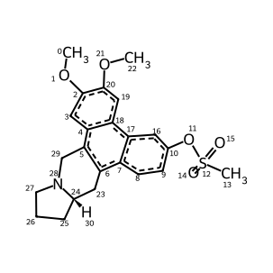 COc1cc2c3c(c4ccc(OS(C)(=O)=O)cc4c2cc1OC)C[C@@H]1CCCN1C3